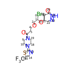 CC(COCCC(=O)N1CCN(c2ncc(C(F)(F)F)s2)CC1)Oc1cn[nH]c(=O)c1Br